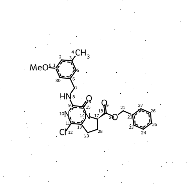 COc1cc(C)cc(CNc2nc(Cl)c3n(c2=O)[C@@H](C(=O)OCc2ccccc2)CC3)c1